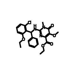 CCOC(=O)c1nc(NC(c2ccccc2)c2c(Cl)cccc2OCC)n(C)c(=O)c1OC